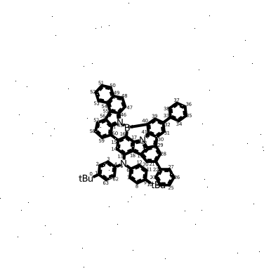 CC(C)(C)c1ccc(N(c2ccc(C(C)(C)C)cc2)c2cc3c4c5c2c2cc(-c6ccccc6)cc6c7cc(-c8ccccc8)cc(c7n5c62)B4n2c4ccc5ccccc5c4c4cccc-3c42)cc1